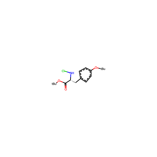 CC(C)(C)OC(=O)[C@@H](Cc1ccc(OC(C)(C)C)cc1)NCl